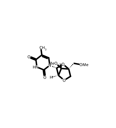 COC[C@@]12CO[C@@H]([C@H](n3cc(C)c(=O)[nH]c3=O)O1)[C@@H]2OC